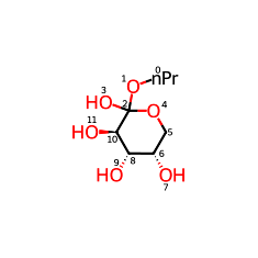 CCCOC1(O)OC[C@H](O)[C@H](O)[C@H]1O